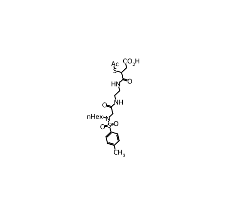 CCCCCCN(CC(=O)NCCNC(=O)C(CC(=O)O)SC(C)=O)S(=O)(=O)c1ccc(C)cc1